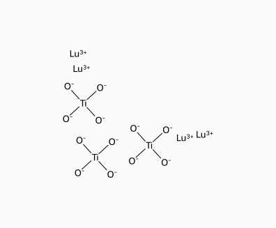 [Lu+3].[Lu+3].[Lu+3].[Lu+3].[O-][Ti]([O-])([O-])[O-].[O-][Ti]([O-])([O-])[O-].[O-][Ti]([O-])([O-])[O-]